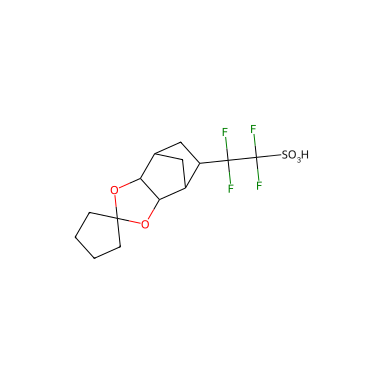 O=S(=O)(O)C(F)(F)C(F)(F)C1CC2CC1C1OC3(CCCC3)OC21